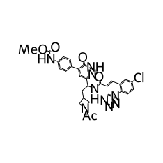 COC(=O)Nc1ccc(-c2cc(C(CC3CN(C(C)=O)C3)NC(=O)C=Cc3cc(Cl)ccc3-n3cnnn3)n[nH]c2=O)cc1